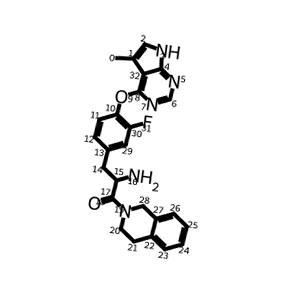 Cc1c[nH]c2ncnc(Oc3ccc(CC(N)C(=O)N4CCc5ccccc5C4)cc3F)c12